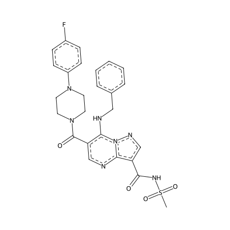 CS(=O)(=O)NC(=O)c1cnn2c(NCc3ccccc3)c(C(=O)N3CCN(c4ccc(F)cc4)CC3)cnc12